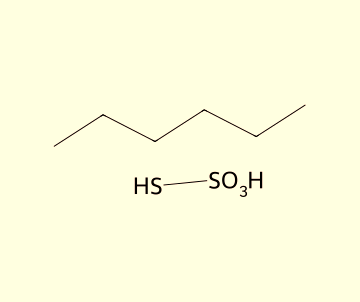 CCCCCC.O=S(=O)(O)S